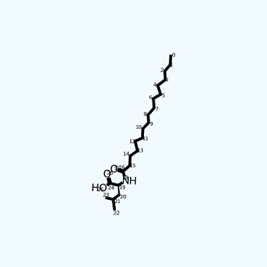 CCCCCCCCCCCCCCCCC(=O)N[C@@H](CC(C)C)C(=O)O